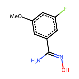 COc1cc(F)cc(C(N)=NO)c1